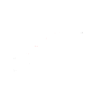 COC(C)CC(O)CC(O)CC(O)CC(O)CC(C)OC